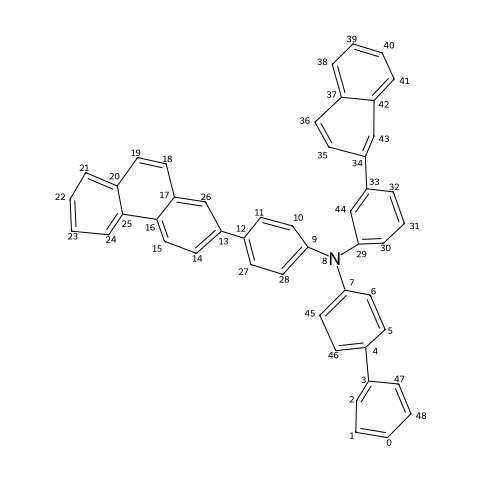 c1ccc(-c2ccc(N(c3ccc(-c4ccc5c(ccc6ccccc65)c4)cc3)c3cccc(-c4ccc5ccccc5c4)c3)cc2)cc1